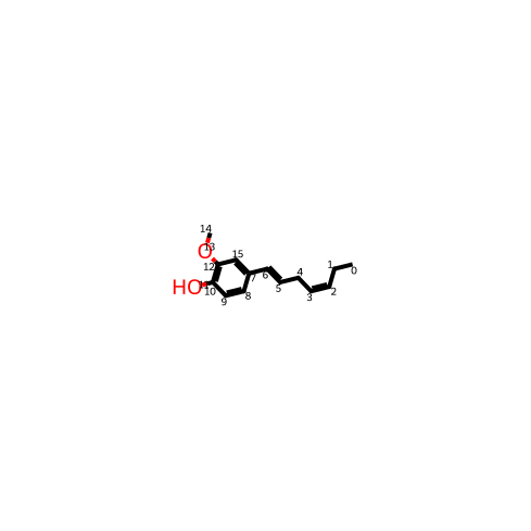 CC/C=C\C/C=C/c1ccc(O)c(OC)c1